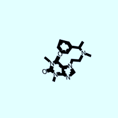 CC(c1ccccc1)N(C)CCn1cnc2c1c(=O)n(C)c(=O)n2C